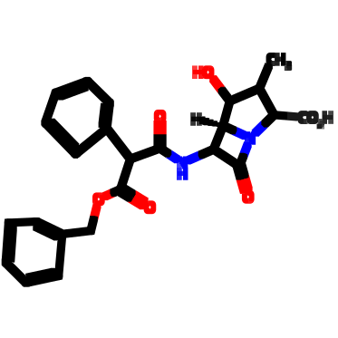 CC1C(O)[C@@H]2C(NC(=O)C(C(=O)OCc3ccccc3)c3ccccc3)C(=O)N2C1C(=O)O